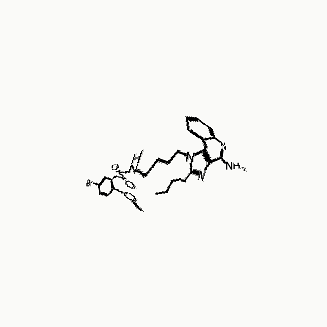 CCCCc1nc2c(N)nc3ccccc3c2n1CCCCNS(=O)(=O)c1cc(Br)ccc1OC